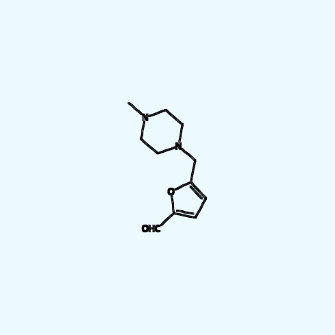 CN1CCN(Cc2ccc(C=O)o2)CC1